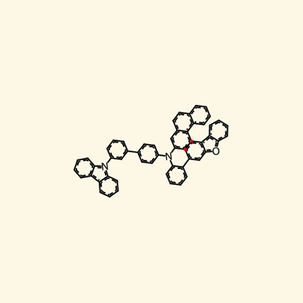 c1cc(-c2ccc(N(c3ccc4c(ccc5ccccc54)c3)c3ccccc3-c3ccc4c(c3)oc3ccccc34)cc2)cc(-n2c3ccccc3c3ccccc32)c1